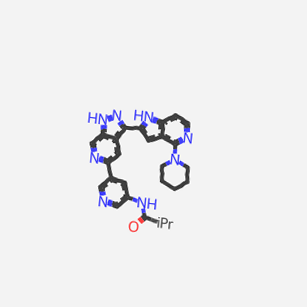 CC(C)C(=O)Nc1cncc(-c2cc3c(-c4cc5c(N6CCCCC6)nccc5[nH]4)n[nH]c3cn2)c1